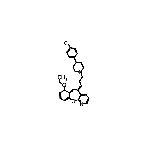 CCOC1C=CC=C2Oc3ncccc3C(=CCCN3CCC(c4ccc(Cl)cc4)CC3)C=C21